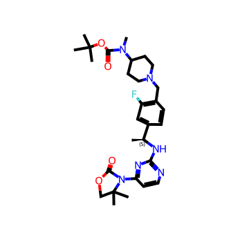 C[C@H](Nc1nccc(N2C(=O)OCC2(C)C)n1)c1ccc(CN2CCC(N(C)C(=O)OC(C)(C)C)CC2)c(F)c1